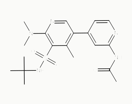 CC(=O)Nc1cc(-c2cnc(N(C)C)c(S(=O)(=O)NC(C)(C)C)c2C)ccn1